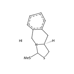 CSC1SC[C@@H]2Cc3ccccc3CN12.I